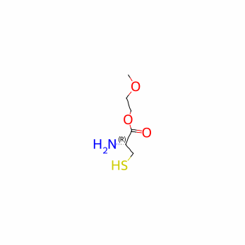 COCCOC(=O)[C@@H](N)CS